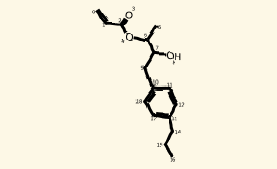 C=CC(=O)OC(C)C(O)Cc1ccc(CCC)cc1